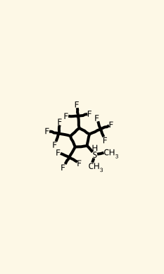 C[SH](C)C1C(C(F)(F)F)C(C(F)(F)F)C(C(F)(F)F)C1C(F)(F)F